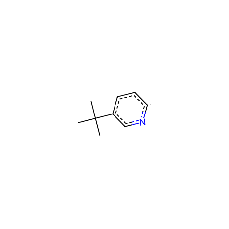 CC(C)(C)c1cc[c]nc1